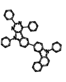 c1ccc(-c2nc(-c3ccccc3)c3c4cc(-c5ccc6c(c5)c5c7ccccc7ccc5n6-c5ccccc5)ccc4n(-c4ccccc4)c3n2)cc1